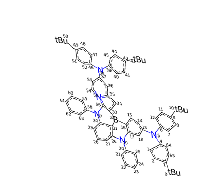 CC(C)(C)c1ccc(N(c2ccc(C(C)(C)C)cc2)c2ccc3c(c2)N(c2ccccc2)c2cccc4c2B3c2cc3cc(N(c5ccc(C(C)(C)C)cc5)c5ccc(C(C)(C)C)cc5)ccn3c2N4c2ccccc2)cc1